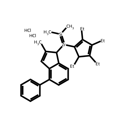 CCC1=C(CC)C(CC)[C]([Zr]([CH]2C(C)=Cc3c(-c4ccccc4)cccc32)=[Si](C)C)=C1CC.Cl.Cl